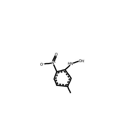 Cc1ccc([N+](=O)[O-])c(NO)c1